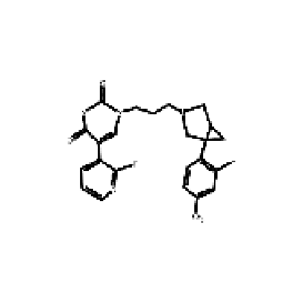 O=c1[nH]c(=O)n(CCCN2CC3CC3(c3ccc(C(F)(F)F)cc3F)C2)cc1-c1cccnc1F